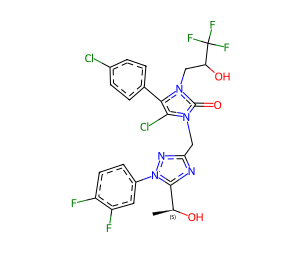 C[C@H](O)c1nc(Cn2c(Cl)c(-c3ccc(Cl)cc3)n(CC(O)C(F)(F)F)c2=O)nn1-c1ccc(F)c(F)c1